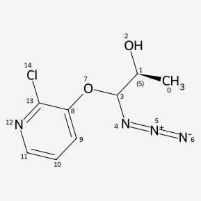 C[C@H](O)C(N=[N+]=[N-])Oc1cccnc1Cl